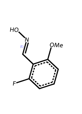 COc1cccc(F)c1/C=N/O